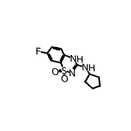 O=S1(=O)N=C(NC2CCCC2)Nc2ccc(F)cc21